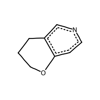 c1cc2c(cn1)CCCO2